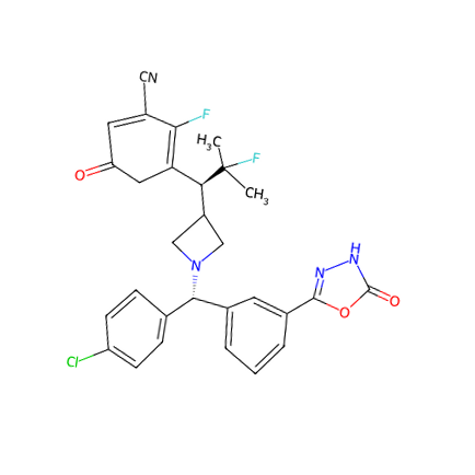 CC(C)(F)[C@H](C1=C(F)C(C#N)=CC(=O)C1)C1CN([C@@H](c2ccc(Cl)cc2)c2cccc(-c3n[nH]c(=O)o3)c2)C1